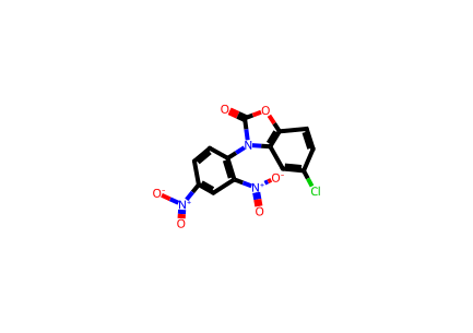 O=c1oc2ccc(Cl)cc2n1-c1ccc([N+](=O)[O-])cc1[N+](=O)[O-]